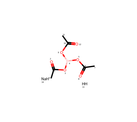 CC(=O)OB(OC(C)=O)OC(C)=O.[HH].[NaH]